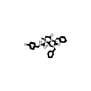 CN1CC(=O)N2[C@@H](Cc3ccccc3)C(=O)N(CC3CCCCC3)C[C@@H]2N1C(=O)NCc1ccc(F)cc1